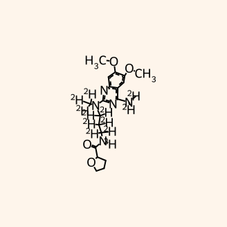 [2H]N([2H])c1nc(N(C([2H])([2H])[2H])C([2H])([2H])C([2H])([2H])C([2H])([2H])N([2H])C(=O)C2CCCO2)nc2cc(OC)c(OC)cc12